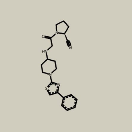 N#C[C@@H]1CCCN1C(=O)CNC1CCN(c2nc(-c3ccccc3)cs2)CC1